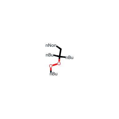 CCCCCCCCCCC(CCCC)(CCCC)OOCCCC